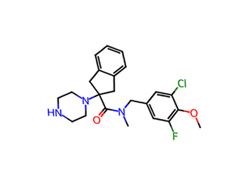 COc1c(F)cc(CN(C)C(=O)C2(N3CCNCC3)Cc3ccccc3C2)cc1Cl